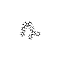 c1ccc(-c2cc(-c3ccccc3)cc(-c3ccc(-c4cccc5c4oc4c(-c6ccc(-c7cccnc7)cc6)cccc45)cc3)c2)cc1